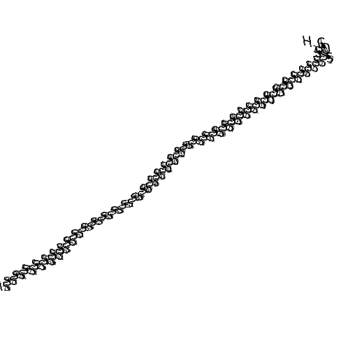 COS(=S)(=S)SSSSSSSSSSSSSSSSSSSSSSSSSSSSSSSSSSSSSSSSSSSSSSSSSSSSSSSSSSSSSSSSSSSSSSSSSSS